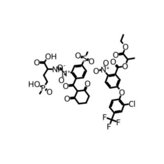 CCOC(=O)C(C)OC(=O)c1cc(Oc2ccc(C(F)(F)F)cc2Cl)ccc1[N+](=O)[O-].CP(=O)(O)CCC(N)C(=O)O.CS(=O)(=O)c1ccc(C(=O)C2C(=O)CCCC2=O)c([N+](=O)[O-])c1